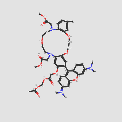 COC(=O)CN1CCOCCN(CC(=O)OC)c2cc(OCC(=O)OCOC(C)=O)c(-c3c4ccc(=[N+](C)C)cc-4oc4cc(N(C)C)ccc34)cc2OCCOc2cc(C)ccc21